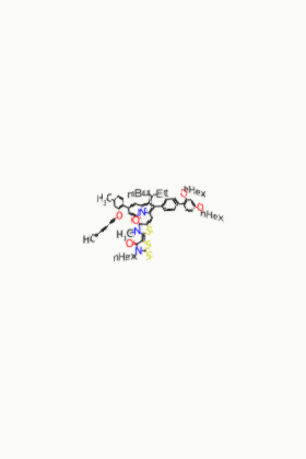 C#CC#CC#COc1cc(C)ccc1-c1ccn2c(/C=c3/s/c(=C4\SC(=S)N(CCCCCC)C4=O)n(C)c3=O)c(-c3ccc(-c4ccc(OCCCCCC)cc4OCCCCCC)cc3)c(C(CC)CCCC)c2c1